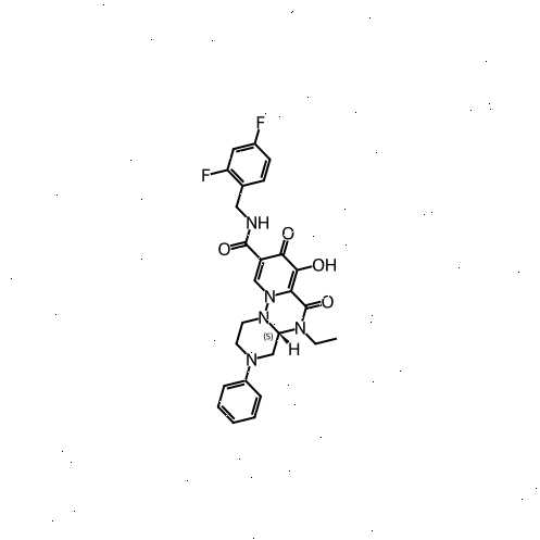 CCN1C(=O)c2c(O)c(=O)c(C(=O)NCc3ccc(F)cc3F)cn2N2CCN(c3ccccc3)C[C@@H]12